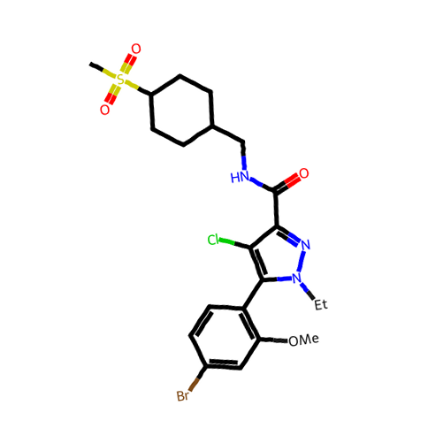 CCn1nc(C(=O)NCC2CCC(S(C)(=O)=O)CC2)c(Cl)c1-c1ccc(Br)cc1OC